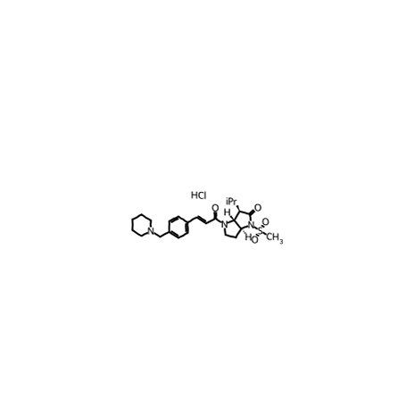 CC(C)[C@H]1C(=O)N(S(C)(=O)=O)[C@H]2CCN(C(=O)/C=C/c3ccc(CN4CCCCC4)cc3)[C@H]12.Cl